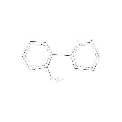 COc1ccccc1-c1cccnn1